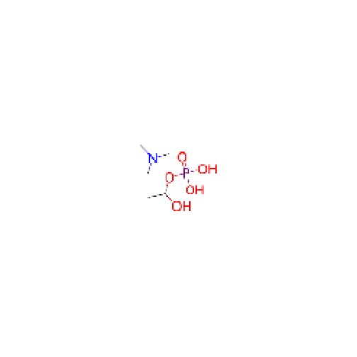 CC(O)OP(=O)(O)O.CN(C)C